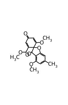 COC(=O)C1=CC(=O)C=C(OC)C12Oc1cc(C)cc(OC)c1C2=O